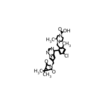 Cc1cc(Cl)cc(-c2ncnn3cc(CN4C(=O)C5C(C4=O)C5(C)C)cc23)c1CN1CCN(C(=O)O)C[C@@H]1C